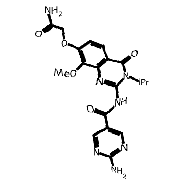 COc1c(OCC(N)=O)ccc2c(=O)n(C(C)C)c(NC(=O)c3cnc(N)nc3)nc12